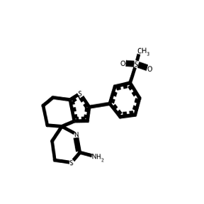 CS(=O)(=O)c1cccc(-c2cc3c(s2)CCCC32CCSC(N)=N2)c1